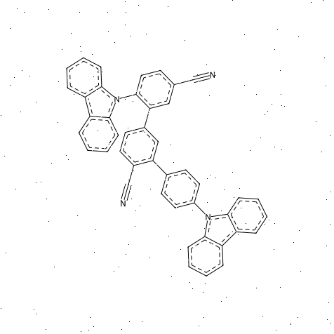 N#Cc1ccc(-n2c3ccccc3c3ccccc32)c(-c2ccc(C#N)c(-c3ccc(-n4c5ccccc5c5ccccc54)cc3)c2)c1